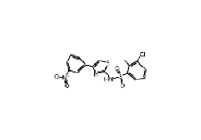 Cc1c(Cl)cccc1S(=O)(=O)Nc1nc(-c2cccc([N+](=O)[O-])c2)cs1